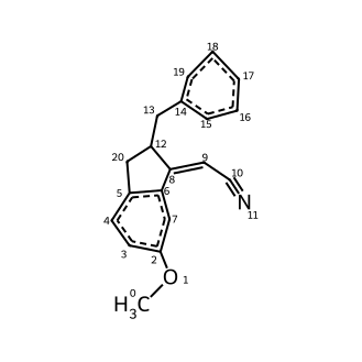 COc1ccc2c(c1)C(=CC#N)C(Cc1ccccc1)C2